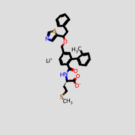 CSCC[C@H](NC(=O)c1ccc(COC(Cc2ccccc2)c2cncs2)cc1-c1ccccc1C)C(=O)[O-].[Li+]